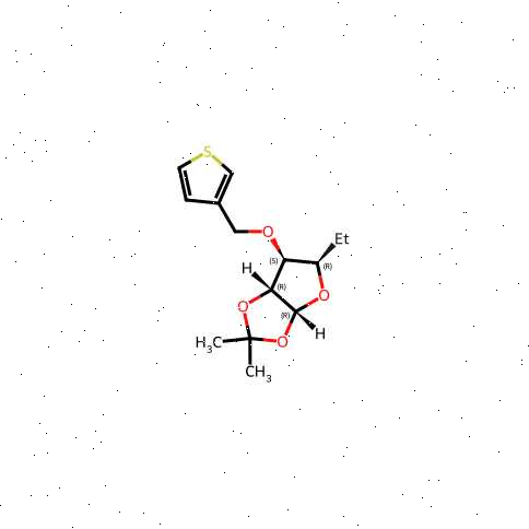 CC[C@H]1O[C@@H]2OC(C)(C)O[C@@H]2[C@H]1OCc1ccsc1